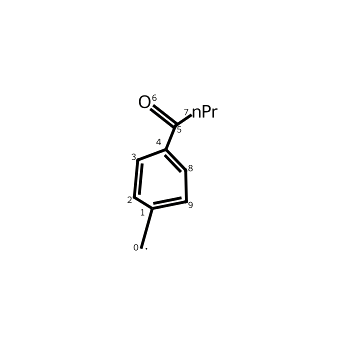 [CH2]c1ccc(C(=O)CCC)cc1